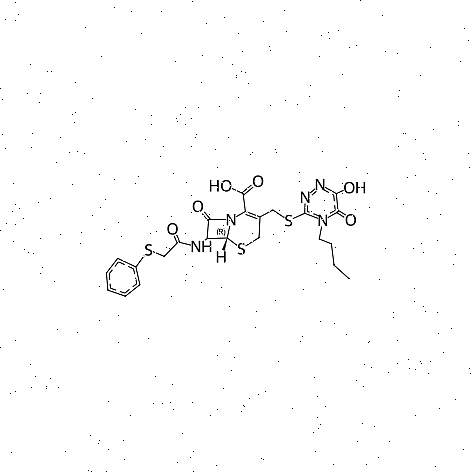 CCCCn1c(SCC2=C(C(=O)O)N3C(=O)C(NC(=O)CSc4ccccc4)[C@H]3SC2)nnc(O)c1=O